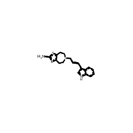 Nc1nc2c(s1)CCN(CC=Cc1c[nH]c3ccccc13)CC2